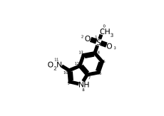 CS(=O)(=O)c1ccc2[nH]cc([N+](=O)[O-])c2c1